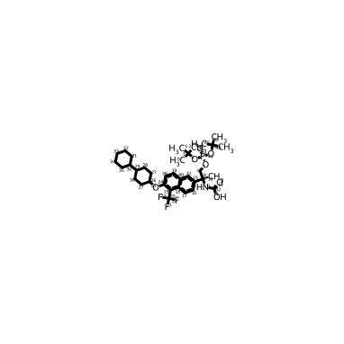 CC(C)(C)OP(=O)(OC[C@](C)(NC(=O)O)c1ccc2c(C(F)(F)F)c(OC3CCC(C4CCCCC4)CC3)ccc2c1)OC(C)(C)C